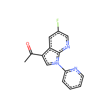 CC(=O)c1cn(-c2ccccn2)c2ncc(F)cc12